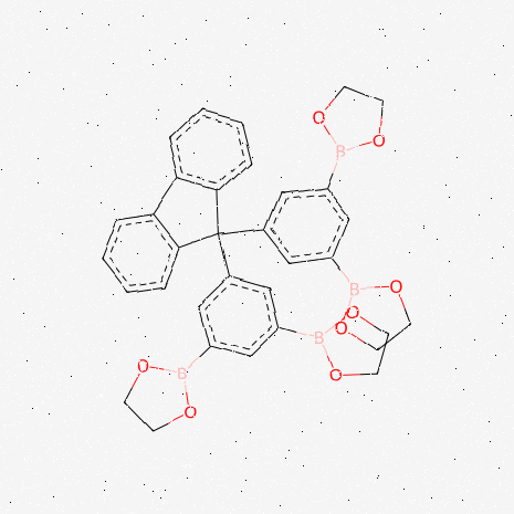 c1ccc2c(c1)-c1ccccc1C2(c1cc(B2OCCO2)cc(B2OCCO2)c1)c1cc(B2OCCO2)cc(B2OCCO2)c1